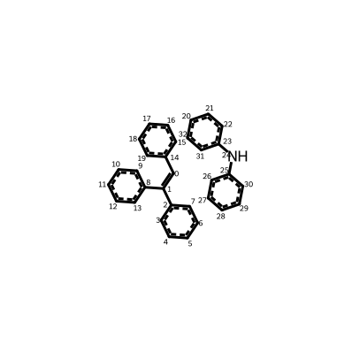 C(=C(c1ccccc1)c1ccccc1)c1ccccc1.c1ccc(Nc2ccccc2)cc1